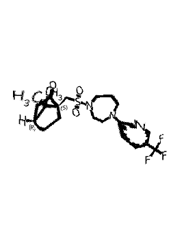 CC1(C)[C@@H]2CC[C@@]1(CS(=O)(=O)N1CCCN(c3ccc(C(F)(F)F)cn3)CC1)C(=O)C2